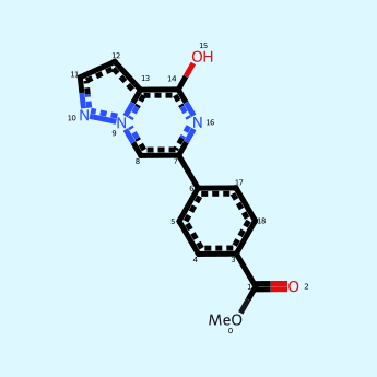 COC(=O)c1ccc(-c2cn3nccc3c(O)n2)cc1